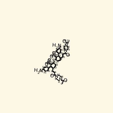 CC(=O)N1CCN(C(=O)/C=C/c2ccc(Sc3ccc(/C=C/C(=O)N4CCN(C(C)=O)CC4)c(-c4ccc(N)cc4)c3[N+](=O)[O-])c([N+](=O)[O-])c2-c2ccc(N)cc2)CC1